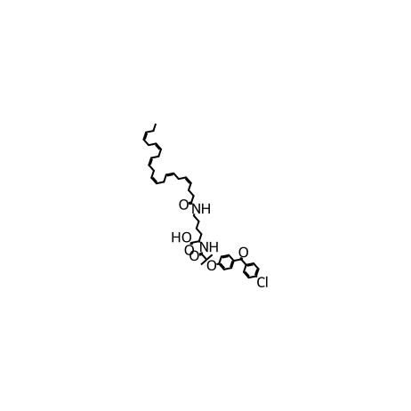 CC/C=C\C/C=C\C/C=C\C/C=C\C/C=C\C/C=C\CCC(=O)NCCCCC(NC(=O)C(C)(C)Oc1ccc(C(=O)c2ccc(Cl)cc2)cc1)C(=O)O